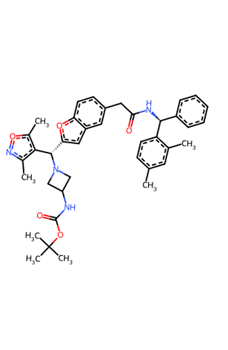 Cc1ccc([C@@H](NC(=O)Cc2ccc3oc([C@@H](c4c(C)noc4C)N4CC(NC(=O)OC(C)(C)C)C4)cc3c2)c2ccccc2)c(C)c1